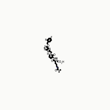 CN(C)C(=O)/C=C/CCC(NC(=O)O)C(=O)Nc1cccn(Cc2nc3c(OCc4ccc(F)cc4F)ncnc3[nH]2)c1=O